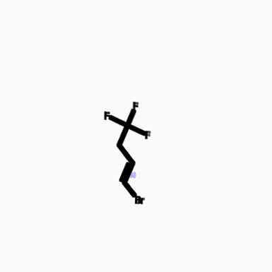 FC(F)(F)C/C=C/Br